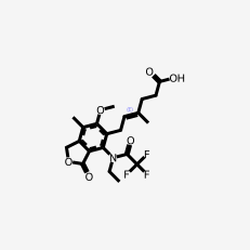 CCN(C(=O)C(F)(F)F)c1c(C/C=C(\C)CCC(=O)O)c(OC)c(C)c2c1C(=O)OC2